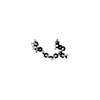 CC(=O)N1CCc2c(c(N3CCCc4cc(-c5cnn(C)c5)c(C(F)F)cc43)nn2C2CCN(C(=O)CCN3CCC(COc4ccc5c(c4)n(C)c(=O)n5C4CCC(=O)NC4=O)CC3)CC2)C1